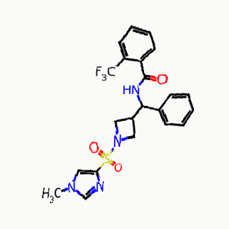 Cn1cnc(S(=O)(=O)N2CC(C(NC(=O)c3ccccc3C(F)(F)F)c3ccccc3)C2)c1